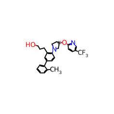 Cc1ccccc1-c1ccc(N2CC[C@@H](Oc3ccc(C(F)(F)F)cn3)C2)c(CCCO)c1